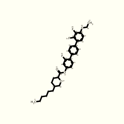 CCCCCCC1CCC(C(=O)Oc2ccc(-c3ccc(-c4ccc(OCC)c(F)c4F)cc3)c(F)c2)OC1